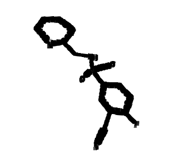 N#Cc1cc(S(=O)(=O)NCc2ccccn2)ccc1F